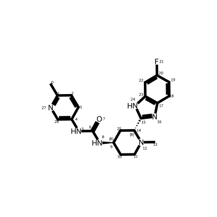 Cc1ccc(NC(=O)N[C@@H]2CCN(C)[C@@H](c3nc4ccc(F)cc4[nH]3)C2)cn1